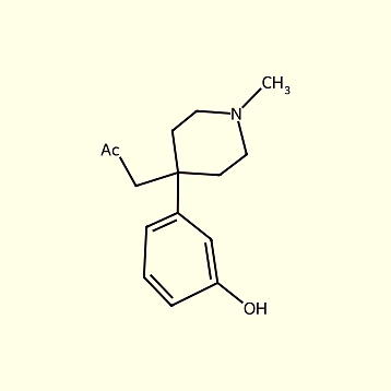 CC(=O)CC1(c2cccc(O)c2)CCN(C)CC1